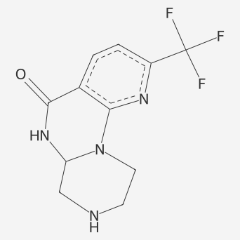 O=C1NC2CNCCN2c2nc(C(F)(F)F)ccc21